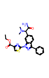 CCOC(=O)c1csc(-n2nc(-c3ccccc3)c3ccc(C(C(N)=O)N(C)C)cc32)n1